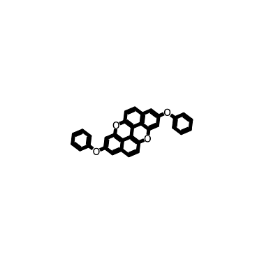 c1ccc(Oc2cc3ccc4oc5cc(Oc6ccccc6)cc6ccc7oc(c2)c3c4-c7c65)cc1